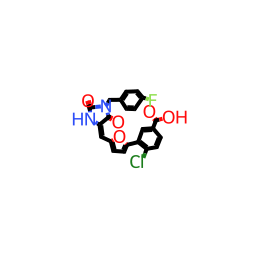 O=C(O)c1ccc(Cl)c(-c2ccc(C=C3NC(=O)N(Cc4ccc(F)cc4)C3=O)o2)c1